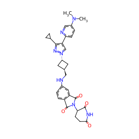 CN(C)c1ccc(-c2cn([C@H]3C[C@H](CNc4ccc5c(c4)C(=O)N(C4CCC(=O)NC4=O)C5=O)C3)nc2C2CC2)nc1